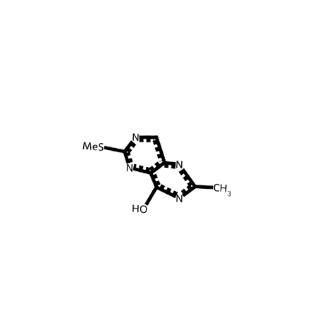 CSc1ncc2nc(C)nc(O)c2n1